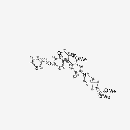 COc1cc(N2CCC3(CC2)CC(C(OC)OC)C3)c(F)cc1C1=C(Br)COc2cc(OCc3ccccc3)ccc21